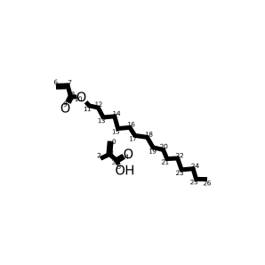 C=C(C)C(=O)O.C=CC(=O)OCCCCCCCCCCCCCCCC